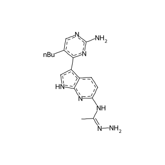 CCCCc1cnc(N)nc1-c1c[nH]c2nc(N/C(C)=N\N)ccc12